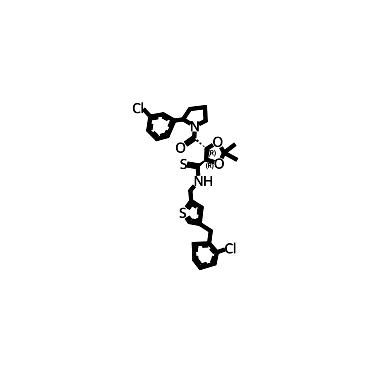 CC1(C)O[C@@H](C(=O)N2CCCC2c2cccc(Cl)c2)[C@H](C(=S)NCc2cc(Cc3ccccc3Cl)cs2)O1